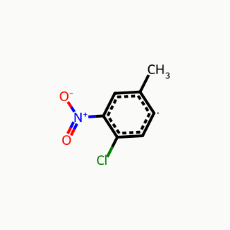 Cc1[c]cc(Cl)c([N+](=O)[O-])c1